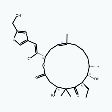 CC[C@H]1C(=O)C(C)(C)[C@@H](O)CC(=O)O[C@H](C(Cl)=Cc2csc(CO)n2)C/C=C(/C)CCC[C@H](C)[C@@H]1O